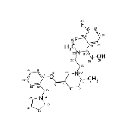 C[C@@H]1CC[C@@H](COc2ccccc2CN2CCCC2)CN1CCN(C)C(=NO)c1cccc(F)c1F